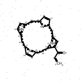 C=CC(=O)c1cc2cc3nc(cc4ccc(cc5nc(cc1[nH]2)C=C5)[nH]4)C=C3